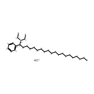 CCCCCCCCCCCCCCCCCCCC(c1ccccc1)N(CC)CC.Cl